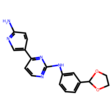 Nc1ccc(-c2ccnc(Nc3cccc(C4OCCO4)c3)n2)cn1